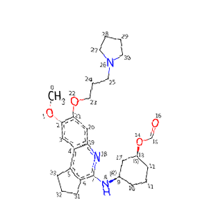 COc1cc2c3c(c(N[C@@H]4CCC[C@H](OC=O)C4)nc2cc1OCCCN1CCCC1)CCC3